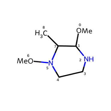 COC1NCCN(OC)C1C